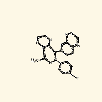 Nc1nc(-c2ccc(F)cc2)c(-c2ccc3nccnc3c2)c2nccnc12